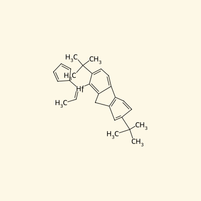 C[CH]=[Hf]([c]1c(C(C)(C)C)ccc2c1Cc1cc(C(C)(C)C)ccc1-2)[CH]1C=CC=C1